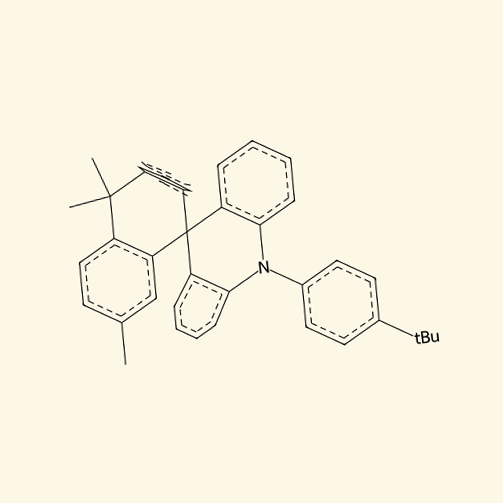 Cc1ccc2c(c1)C1(c3ccccc3N(c3ccc(C(C)(C)C)cc3)c3ccccc31)c1ccccc1C2(C)C